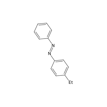 CCc1ccc(N=Nc2ccccc2)cc1